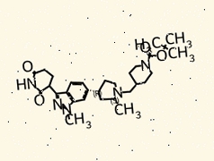 C[C@H]1C[C@H](c2ccc3c(C4CCC(=O)NC4=O)nn(C)c3c2)CCN1CC1CCN(C(=O)OC(C)(C)C)CC1